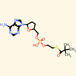 CC(C)(C)C(=O)SCCOP(=O)(O)OCC1CCC(n2cnc3c(N)ncnc32)O1